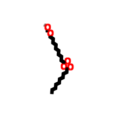 CCCCCCCCCC(=O)OC(=O)CCCCCCCCCOCOC